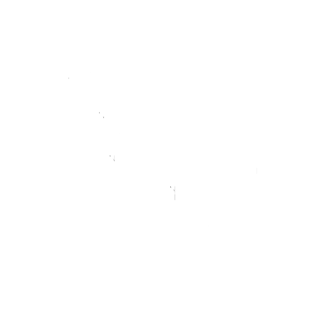 Oc1ccccc1CNc1ccc(N2CCOCC2)nc1